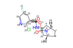 CC(C)(C)OC(=O)N1[C@@H]2CC[C@H]1C[C@@H](NC(=O)c1cc(F)cnc1Cl)C2